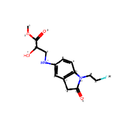 COC(=O)C(O)CNc1ccc2c(c1)CC(=O)N2CCF